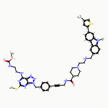 CCCSc1nc(NCCNC(=O)OC(C)(C)C)c2nnn(Cc3ccc(C#CCNC(=O)C4CCN(CCNCc5ccc6c(c5)c5ccc(-c7cc(C)cs7)cc5n6CC)CC4)cc3)c2n1